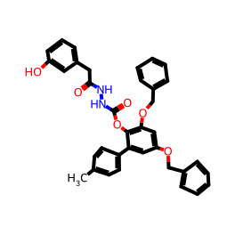 Cc1ccc(-c2cc(OCc3ccccc3)cc(OCc3ccccc3)c2OC(=O)NNC(=O)Cc2cccc(O)c2)cc1